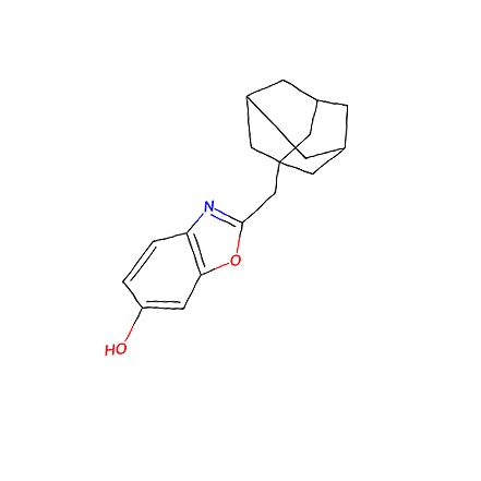 Oc1ccc2nc(CC34CC5CC(CC(C5)C3)C4)oc2c1